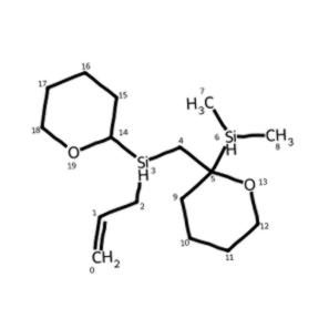 C=CC[SiH](CC1([SiH](C)C)CCCCO1)C1CCCCO1